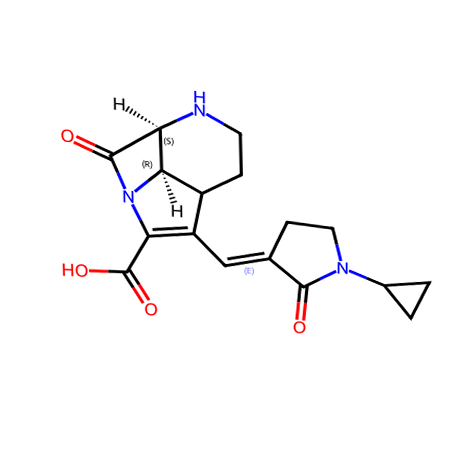 O=C(O)C1=C(/C=C2\CCN(C3CC3)C2=O)C2CCN[C@@H]3C(=O)N1[C@H]23